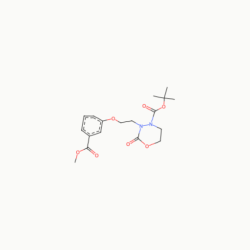 COC(=O)c1cccc(OCCN2C(=O)OCCN2C(=O)OC(C)(C)C)c1